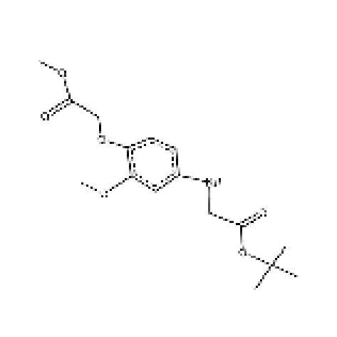 COC(=O)COc1ccc(NCC(=O)OC(C)(C)C)cc1OC